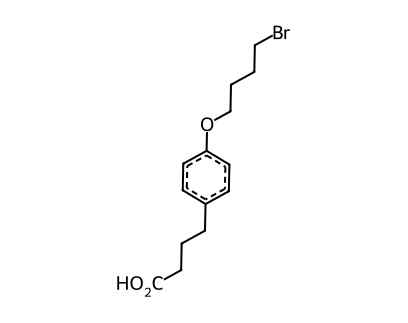 O=C(O)CCCc1ccc(OCCCCBr)cc1